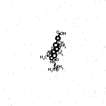 CC(C)[C@@H]1CC[C@]2(C(=O)NCC[N+](C)(C)[O-])CC[C@]3(C)C(CC[C@H]4C3(C)CC[C@H]3C(C)(C)C(c5ccc(C(=O)O)cc5)=CC[C@@]34C)[C@@H]12